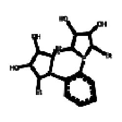 CCC1C(O)C(O)C(CC)P1c1ccccc1P1C(CC)C(O)C(O)C1CC